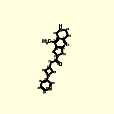 Cc1c2c(nc3c1CN(C(=O)CC1CN(c4cccnc4)C1)C3)CCNC2